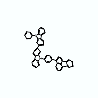 c1ccc(-n2c3ccccc3c3ccc(-c4ccc5c6ccccc6n(-c6ccc(-c7ccc8c9c(cccc79)-c7ccccc7-8)cc6)c5c4)cc32)cc1